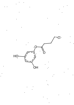 O=C(CCCCl)Oc1cc(O)cc(O)c1